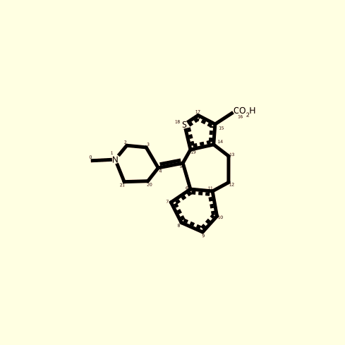 CN1CCC(=C2c3ccccc3CCc3c(C(=O)O)[c]sc32)CC1